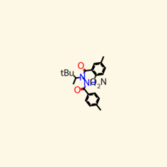 Cc1ccc(C(=O)NN(C(=O)c2cc(C)ccc2[N+](=O)[O-])C(C)C(C)(C)C)cc1